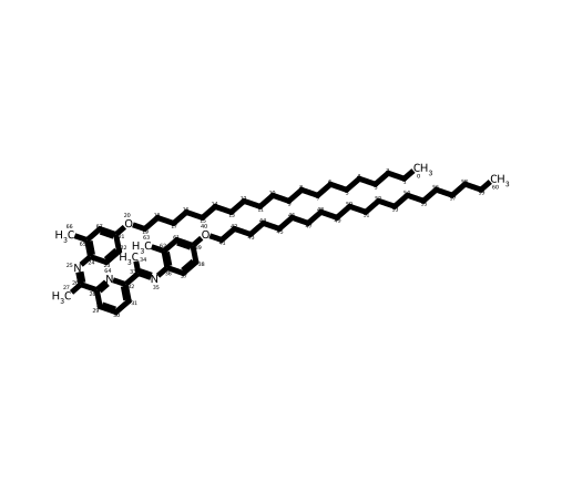 CCCCCCCCCCCCCCCCCCCCOc1ccc(N=C(C)c2cccc(C(C)=Nc3ccc(OCCCCCCCCCCCCCCCCCCCC)cc3C)n2)c(C)c1